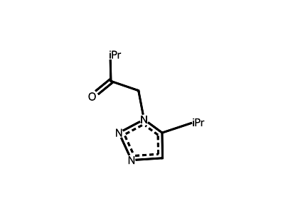 CC(C)C(=O)Cn1nncc1C(C)C